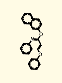 C(=CC(=Nc1ccccc1)Oc1ccc2ccccc2c1)Oc1ccccc1